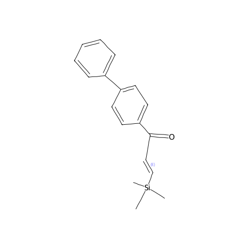 C[Si](C)(C)/C=C/C(=O)c1ccc(-c2ccccc2)cc1